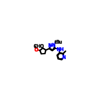 Cc1ncccc1Nc1cc(C2CCC(OC=O)C2)nn1C(C)(C)C